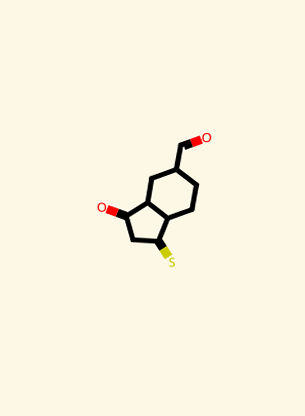 O=CC1CCC2C(=S)CC(=O)C2C1